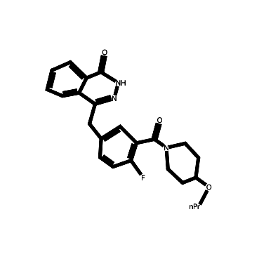 CCCOC1CCN(C(=O)c2cc(Cc3n[nH]c(=O)c4ccccc34)ccc2F)CC1